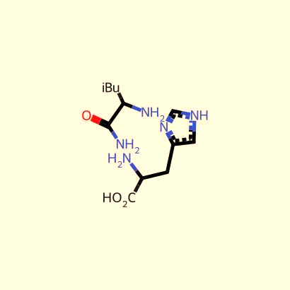 CCC(C)C(N)C(N)=O.NC(Cc1c[nH]cn1)C(=O)O